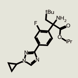 CC(C)OC(=O)C(N)(CC(C)(C)C)c1ccc(-c2ncn(C3CC3)n2)cc1F